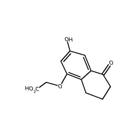 O=C(O)COc1cc(O)cc2c1CCCC2=O